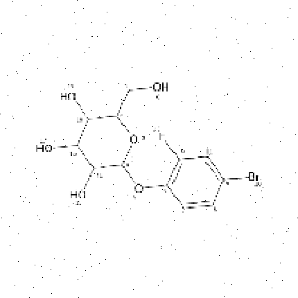 OCC1OC(Oc2ccc(Br)cc2F)C(O)C(O)C1O